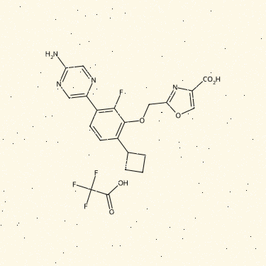 Nc1cnc(-c2ccc(C3CCC3)c(OCc3nc(C(=O)O)co3)c2F)cn1.O=C(O)C(F)(F)F